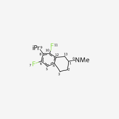 CNC1CCc2cc(F)c(C(C)C)c(F)c2C1